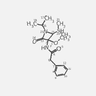 COC1(NC(=O)Cc2ccccc2)C(=O)N(C(C)C)C1[SiH](C)C